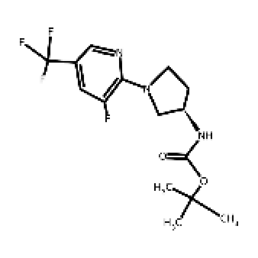 CC(C)(C)OC(=O)N[C@@H]1CCN(c2ncc(C(F)(F)F)cc2F)C1